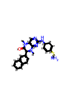 CN1C(=O)C(c2ccc3ccccc3c2)N(C)c2nc(NC3C=CC(SN)=CC3)ncc21